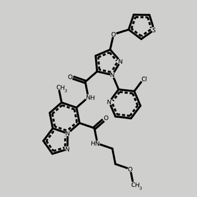 COCCNC(=O)c1c(NC(=O)c2cc(Oc3ccsc3)nn2-c2ncccc2Cl)c(C)cc2ccnn12